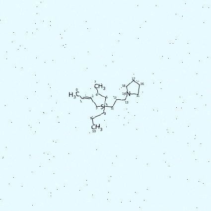 C/C=C/C[Si](CCC)(CCC)CCCN1CCCC1